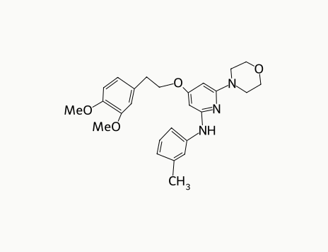 COc1ccc(CCOc2cc(Nc3cccc(C)c3)nc(N3CCOCC3)c2)cc1OC